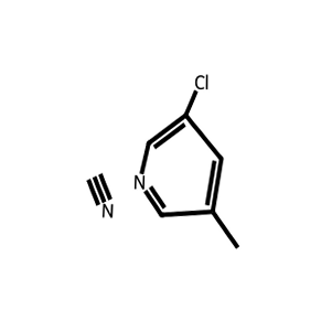 C#N.Cc1cncc(Cl)c1